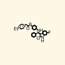 CCN1CCN(CC(=O)N(C)c2ccc(NC(=C3C(=O)Nc4cc(F)ccc43)c3ccccc3)cc2)CC1